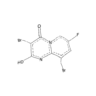 O=c1c(Br)c(O)nc2c(Br)cc(F)cn12